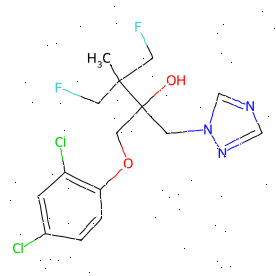 CC(CF)(CF)C(O)(COc1ccc(Cl)cc1Cl)Cn1cncn1